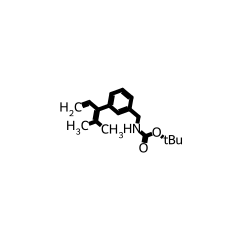 C=CC(=C(C)C)c1cccc(CNC(=O)OC(C)(C)C)c1